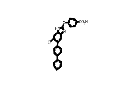 O=C(O)c1ccc(Oc2nc3cc(-c4ccc(-c5ccccc5)cc4)c(Cl)cc3[nH]2)cc1